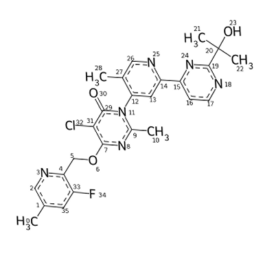 Cc1cnc(COc2nc(C)n(-c3cc(-c4ccnc(C(C)(C)O)n4)ncc3C)c(=O)c2Cl)c(F)c1